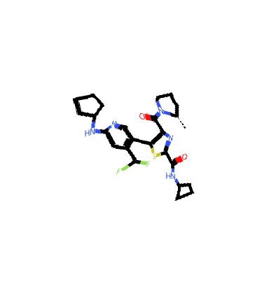 C[C@H]1CCCN1C(=O)c1nc(C(=O)NC2CCC2)sc1-c1cnc(NC2CCCC2)cc1C(F)F